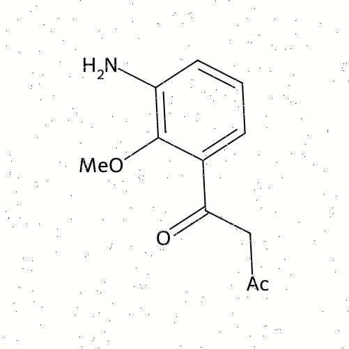 COc1c(N)cccc1C(=O)CC(C)=O